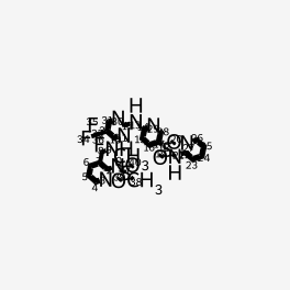 CN(c1ncccc1CNc1nc(Nc2ccc(S(=O)(=O)Nc3ccccn3)cn2)ncc1C(F)(F)F)S(C)(=O)=O